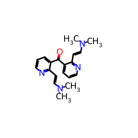 CN(C)C=Cc1ncccc1C(=O)c1cccnc1C=CN(C)C